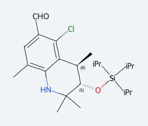 Cc1cc(C=O)c(Cl)c2c1NC(C)(C)[C@@H](O[Si](C(C)C)(C(C)C)C(C)C)[C@@H]2C